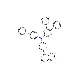 C/C=C(\C=C/Cc1cccc2ccccc12)N(c1ccc(-c2ccccc2)cc1)c1ccc(-c2ccccc2)c(-c2ccccc2)c1